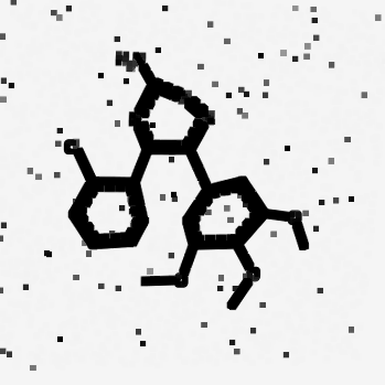 COc1cc(-c2nnc(N)nc2-c2ccccc2Cl)cc(OC)c1OC